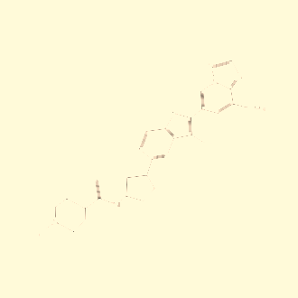 COc1cc(-c2[nH]c3ccc(C4CCC(NC(=O)C5CCN(C)CC5)C4)nc3c2C(C)C)cn2ncnc12